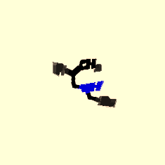 C=C(CNCC(C)CC)C(C)C